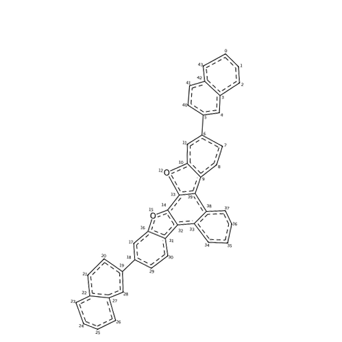 c1ccc2cc(-c3ccc4c(c3)oc3c5oc6cc(-c7ccc8ccccc8c7)ccc6c5c5ccccc5c43)ccc2c1